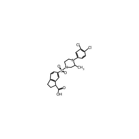 CC1CN(S(=O)(=O)c2ccc3c(c2)C(C(=O)O)CC3)CCN1c1ccc(Cl)c(Cl)c1